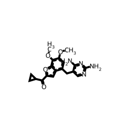 COc1cc(Cc2cnc(N)nc2N)c2cc(C(=O)C3CC3)oc2c1OC